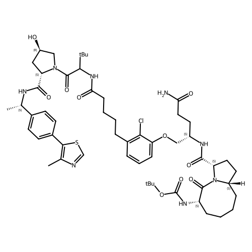 Cc1ncsc1-c1ccc([C@H](C)NC(=O)[C@@H]2C[C@@H](O)CN2C(=O)C(NC(=O)CCCCc2cccc(OC[C@H](CCC(N)=O)NC(=O)[C@@H]3CC[C@@H]4CCCC[C@H](NC(=O)OC(C)(C)C)C(=O)N43)c2Cl)C(C)(C)C)cc1